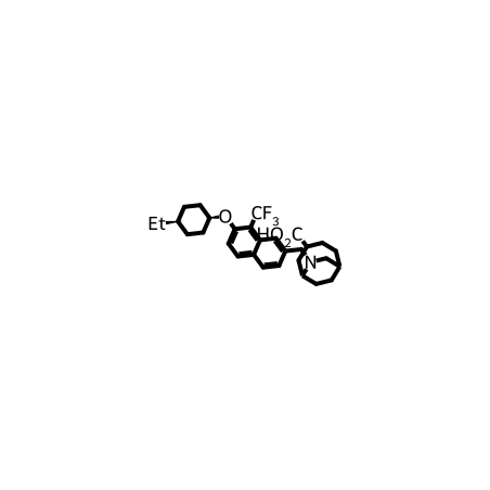 CC[C@H]1CC[C@@H](Oc2ccc3ccc(CN4CC5CCC(C(=O)O)CC4CC5)cc3c2C(F)(F)F)CC1